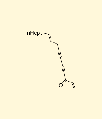 C=CC(=O)C#CC#CCC=CCCCCCCC